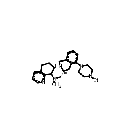 CCN1CCN(c2cccc3c2C[C@H](CN(C)C2CCCc4cccnc42)NC3)CC1